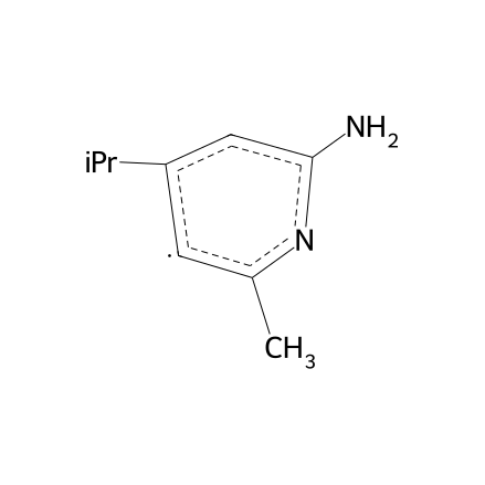 Cc1[c]c(C(C)C)cc(N)n1